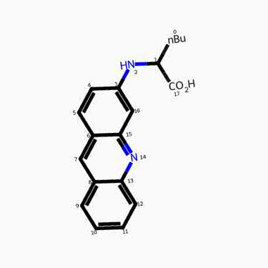 CCCCC(Nc1ccc2cc3ccccc3nc2c1)C(=O)O